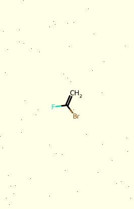 C=C(F)Br